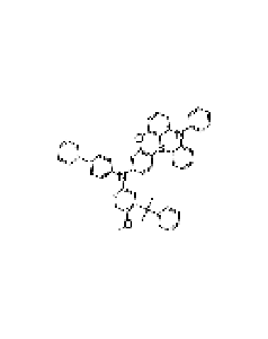 COc1ccc(N(c2ccc(-c3ccccc3)cc2)c2ccc3c(c2)Oc2cccc4c2B3c2ccccc2N4c2ccccc2)cc1C(C)(C)c1ccccc1